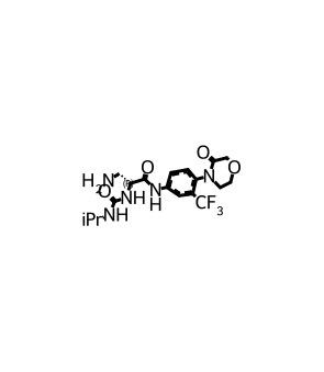 CC(C)NC(=O)N[C@H](CN)C(=O)Nc1ccc(N2CCOCC2=O)c(C(F)(F)F)c1